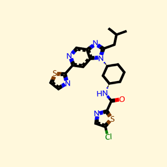 CC(C)Cc1nc2cnc(-c3nccs3)cc2n1[C@@H]1CCC[C@H](NC(=O)c2ncc(Cl)s2)C1